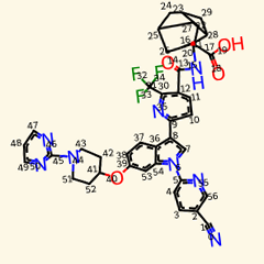 N#Cc1ccc(-n2cc(-c3ccc(C(=O)NC4(C(=O)O)C5CCC6CC(C5)CC4C6)c(C(F)(F)F)n3)c3ccc(OC4CCN(c5ncccn5)CC4)cc32)nc1